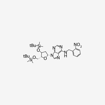 CC(C)(C)[Si](C)(C)OC[C@H]1O[C@@H](n2cnc3c(NCc4ccccc4[N+](=O)[O-])ncnc32)CC1O[Si](C)(C)C(C)(C)C